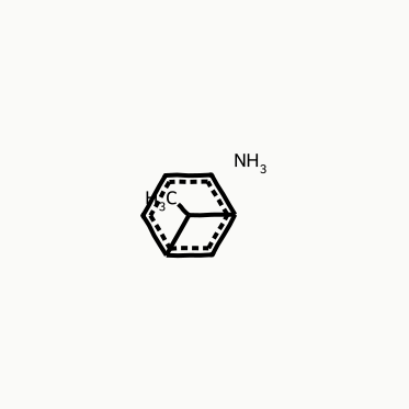 CC1c2cccc1c2.N